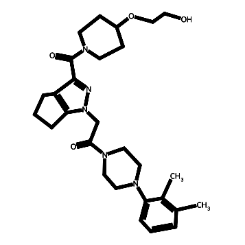 Cc1cccc(N2CCN(C(=O)Cn3nc(C(=O)N4CCC(OCCO)CC4)c4c3CCC4)CC2)c1C